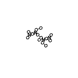 c1ccc(-c2cccc(N(c3ccc(-c4ccc(N(c5cccc(-c6ccccc6)c5)c5ccc6c(c5)c5ccccc5n6-c5ccccc5)c5ccccc45)cc3)c3ccc4c(c3)c3ccccc3n4-c3ccccc3)c2)cc1